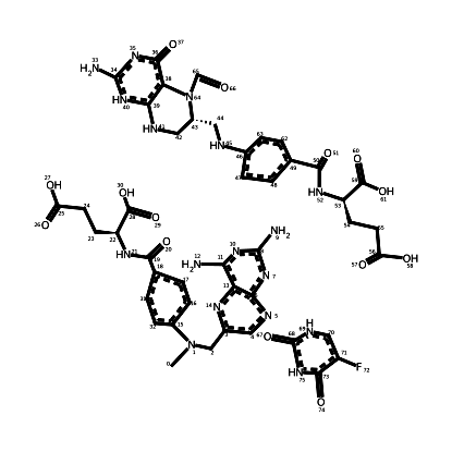 CN(Cc1cnc2nc(N)nc(N)c2n1)c1ccc(C(=O)N[C@@H](CCC(=O)O)C(=O)O)cc1.Nc1nc(=O)c2c([nH]1)NC[C@@H](CNc1ccc(C(=O)N[C@H](CCC(=O)O)C(=O)O)cc1)N2C=O.O=c1[nH]cc(F)c(=O)[nH]1